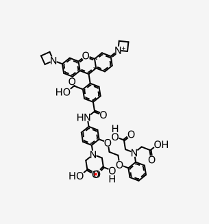 O=C(O)CN(CC(=O)O)c1ccccc1OCCOc1cc(NC(=O)c2ccc(-c3c4ccc(=[N+]5CCC5)cc-4oc4cc(N5CCC5)ccc34)c(C(=O)O)c2)ccc1N(CC(=O)O)CC(=O)O